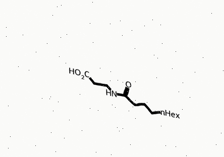 CCCCCCCCCC(=O)NCCC(=O)O